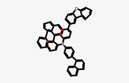 c1ccc(-c2cccc3cccc(-c4ccccc4N(c4ccc(-c5ccc6oc7ccccc7c6c5)cc4)c4ccc(-c5cccc6ccccc56)cc4)c23)cc1